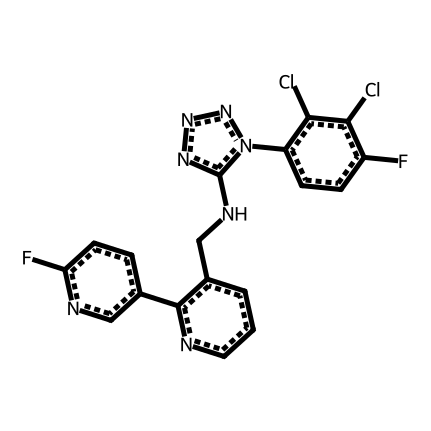 Fc1ccc(-c2ncccc2CNc2nnnn2-c2ccc(F)c(Cl)c2Cl)cn1